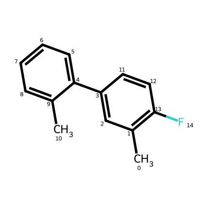 Cc1cc(-c2ccccc2C)ccc1F